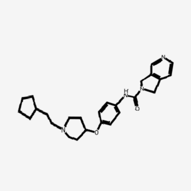 O=C(Nc1ccc(OC2CCN(CCC3CCCC3)CC2)cc1)N1Cc2ccncc2C1